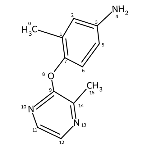 Cc1cc(N)ccc1Oc1nccnc1C